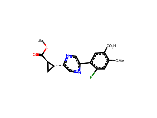 COc1cc(F)c(-c2cnc([C@@H]3C[C@H]3C(=O)OC(C)(C)C)cn2)cc1C(=O)O